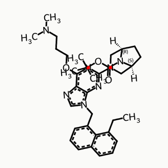 CCc1cccc2cccc(Cn3cnc4c(OCCCN(C)C)nc(N5C[C@H]6CC[C@@H](C5)N6C(=O)OC(C)(C)C)nc43)c12